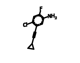 Nc1cc(C#CC2CC2)c(Cl)cc1F